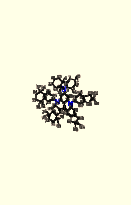 Cc1cc(C)c2c(c1)C1(C)CCCCC1(C)N2c1cc2c3c(c1)N(c1ccc4c(c1)C(C)(C)CCC4(C)C)c1cc4c(cc1B3c1cc3c(cc1N2c1ccc2c(c1)CC(C)(C)C2)CC(C)(C)C3)C(C)(C)CCC4(C)C